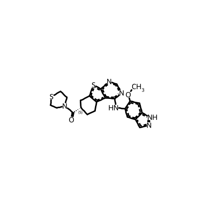 COc1cc2[nH]ncc2cc1Nc1ncnc2sc3c(c12)CC[C@H](C(=O)N1CCSCC1)C3